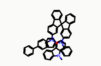 Cn1c2ccccc2c2c(N(c3ccc(-c4ccccc4)cc3)c3ccc4c(c3)C3(c5ccccc5-c5ccc(N(c6ccccc6)c6ccccc6)cc53)c3ccccc3-4)cccc21